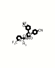 CC(C)(NC1=CC(c2cccc(OC(F)(F)F)c2)N(c2ccc(C#N)cc2)C1=O)c1cccc(C(F)(F)F)n1